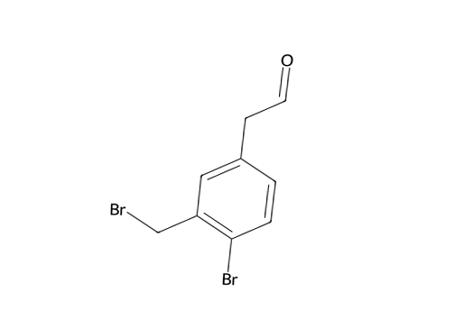 O=CCc1ccc(Br)c(CBr)c1